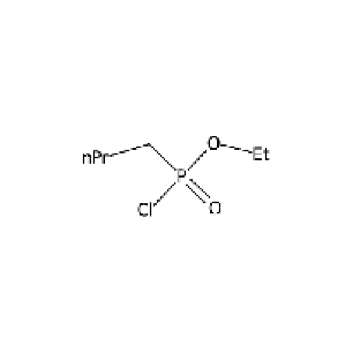 CCCCP(=O)(Cl)OCC